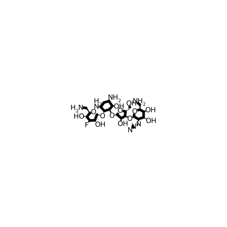 [N-]=[N+]=N[C@H]1[C@@H](O[C@H]2[C@@H](O)[C@H](O[C@@H]3[C@@H](O)[C@H](N)C[C@H](N)[C@H]3O[C@H]3O[C@H](CN)[C@@H](O)[C@H](F)[C@H]3O)O[C@@H]2CO)O[C@@H](CN)[C@@H](O)[C@@H]1O